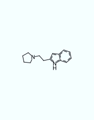 c1ccc2[nH]c(CCN3CCCC3)cc2c1